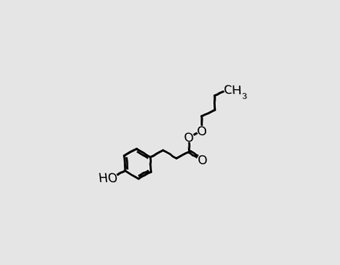 CCCCOOC(=O)CCc1ccc(O)cc1